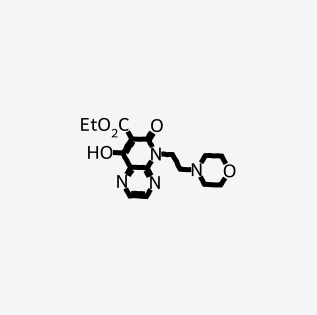 CCOC(=O)c1c(O)c2nccnc2n(CCN2CCOCC2)c1=O